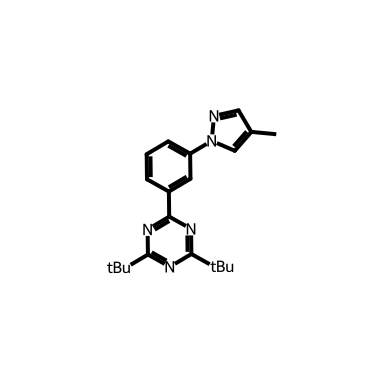 Cc1cnn(-c2cccc(-c3nc(C(C)(C)C)nc(C(C)(C)C)n3)c2)c1